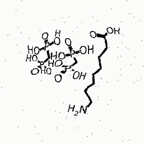 NCCCCCCCC(=O)O.O=P(O)(O)CP(=O)(O)O.O=P(O)(O)CP(=O)(O)O